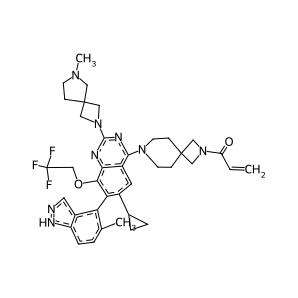 C=CC(=O)N1CC2(CCN(c3nc(N4CC5(CCN(C)C5)C4)nc4c(OCC(F)(F)F)c(-c5c(C)ccc6[nH]ncc56)c(C5CC5)cc34)CC2)C1